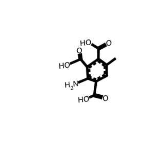 Cc1cc(C(=O)O)c(N)c(C(=O)O)c1C(=O)O